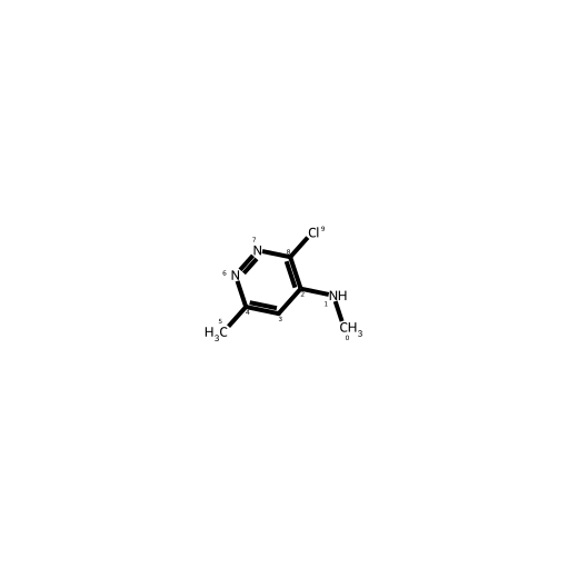 CNc1cc(C)nnc1Cl